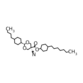 CCCCCCCC1CCC(OC(=O)[C@]2(C#N)CO[C@H](C3CCC(CCCC)CC3)OC2)CC1